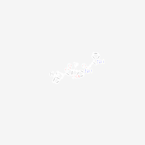 CCC(Cc1ccccc1)c1cc(O)c(C(c2cccc(NC(=O)CCc3c[nH]c4ccccc34)c2)C2CC2)c(=O)o1